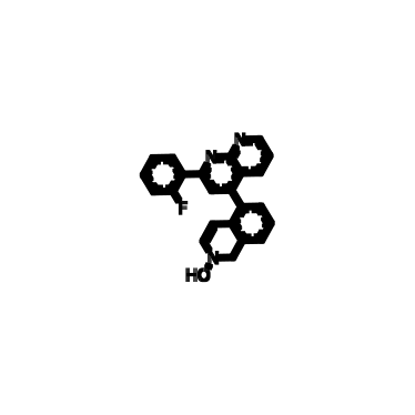 ON1C=Cc2c(cccc2-c2cc(-c3ccccc3F)nc3ncccc23)C1